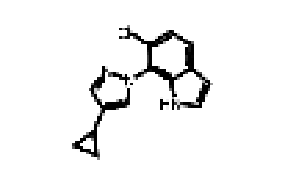 Clc1ccc2cc[nH]c2c1-n1cc(C2CC2)cn1